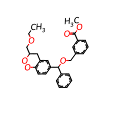 CCOCC1Cc2cc(C(OCc3cccc(C(=O)OC)c3)c3ccccc3)ccc2OO1